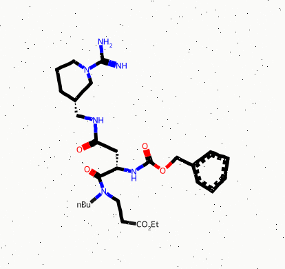 CCCCN(CCC(=O)OCC)C(=O)[C@H](CC(=O)NC[C@@H]1CCCN(C(=N)N)C1)NC(=O)OCc1ccccc1